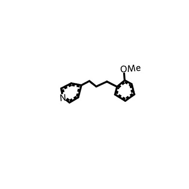 COc1ccccc1CCCc1ccncc1